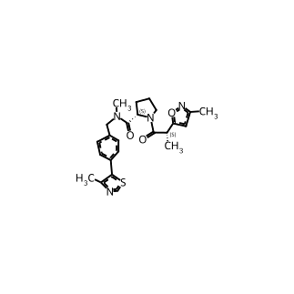 Cc1cc([C@H](C)C(=O)N2CCC[C@H]2C(=O)N(C)Cc2ccc(-c3scnc3C)cc2)on1